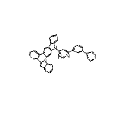 c1ccc(-c2cccc(-c3cc(-n4c5ccccc5c5cc6c7ccccc7c7cc8ccccc8n7c6cc54)ncn3)c2)cc1